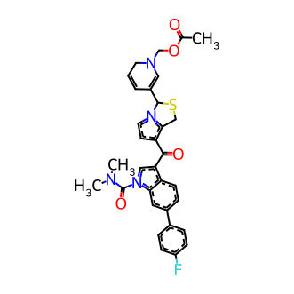 CC(=O)OCN1C=C(C2SCc3c(C(=O)c4cn(C(=O)N(C)C)c5cc(-c6ccc(F)cc6)ccc45)ccn32)C=CC1